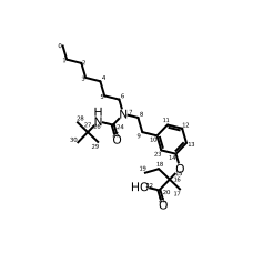 CCCCCCCN(CCc1cccc(OC(C)(CC)C(=O)O)c1)C(=O)NC(C)(C)C